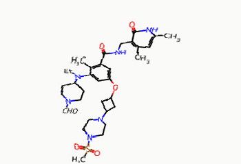 CCN(c1cc(OC2CC(N3CCN(S(C)(=O)=O)CC3)C2)cc(C(=O)NCc2c(C)cc(C)[nH]c2=O)c1C)C1CCN(C=O)CC1